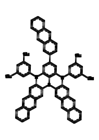 CC(C)(C)c1cc(N2c3cc4cc5ccccc5cc4cc3B3c4cc5cc6ccccc6cc5cc4N(c4cc(C(C)(C)C)cc(C(C)(C)C)c4)c4cc(-c5ccc6cc7ccccc7cc6c5)cc2c43)cc(C(C)(C)C)c1